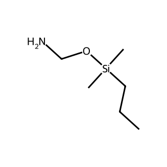 CCC[Si](C)(C)OCN